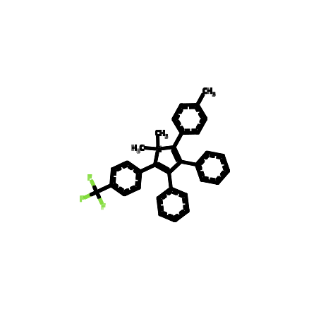 Cc1ccc(C2=C(c3ccccc3)C(c3ccccc3)=C(c3ccc(C(F)(F)F)cc3)[Si]2(C)C)cc1